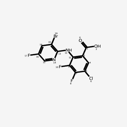 O=C(O)c1cc(Cl)c(F)c(F)c1Nc1ncc(F)cc1Br